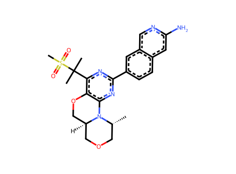 C[C@@H]1COC[C@H]2COc3c(nc(-c4ccc5cc(N)ncc5c4)nc3C(C)(C)S(C)(=O)=O)N21